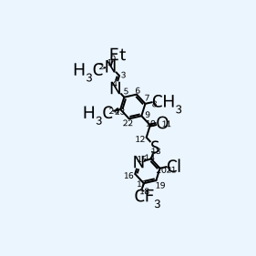 CCN(C)C=Nc1cc(C)c(C(=O)CSc2ncc(C(F)(F)F)cc2Cl)cc1C